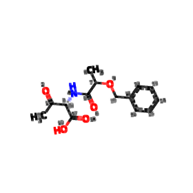 CC(=O)[C@H](NC(=O)C(C)OCc1ccccc1)C(=O)O